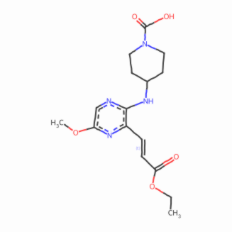 CCOC(=O)/C=C/c1nc(OC)cnc1NC1CCN(C(=O)O)CC1